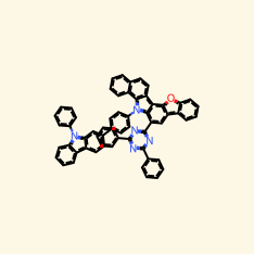 c1ccc(-c2nc(-c3ccccc3)nc(-c3cc4c5ccccc5oc4c4c5ccc6ccccc6c5n(-c5ccc(-c6ccc7c8ccccc8n(-c8ccccc8)c7c6)cc5)c34)n2)cc1